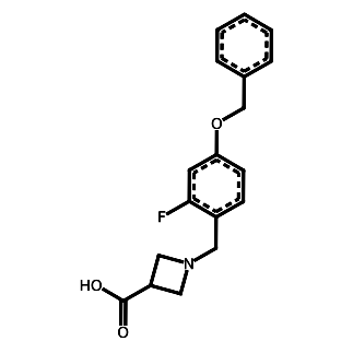 O=C(O)C1CN(Cc2ccc(OCc3ccccc3)cc2F)C1